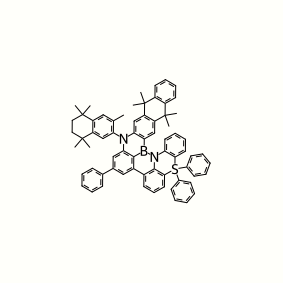 Cc1cc2c(cc1N1c3cc4c(cc3B3c5c(cc(-c6ccccc6)cc51)-c1cccc5c1N3c1ccccc1S5(c1ccccc1)c1ccccc1)C(C)(C)c1ccccc1C4(C)C)C(C)(C)CCC2(C)C